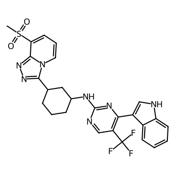 CS(=O)(=O)c1cccn2c(C3CCCC(Nc4ncc(C(F)(F)F)c(-c5c[nH]c6ccccc56)n4)C3)nnc12